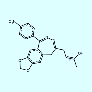 C/C(O)=C/CC1=NN=C(c2ccc([N+](=O)[O-])cc2)c2cc3c(cc2C1)OCO3